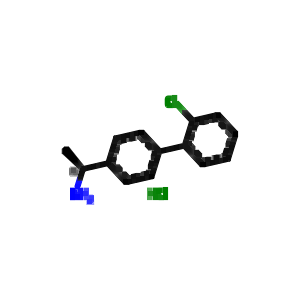 C[C@H](N)c1ccc(-c2ccccc2Cl)cc1.Cl